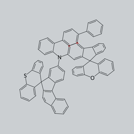 c1ccc(-c2ccc(-c3ccccc3N(c3ccc4c(c3)C3(c5ccccc5Oc5ccccc53)c3ccccc3-4)c3ccc4c(c3)C3(c5ccccc5Sc5ccccc53)c3ccc5ccccc5c3-4)cc2)cc1